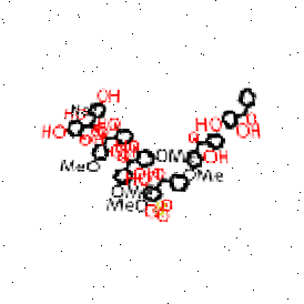 COc1cc(O)c(C(=O)c2ccccc2)cc1S(=O)(=O)[O-].COc1ccc(C(=O)c2ccc(OC)cc2O)c(O)c1.COc1ccc(C(=O)c2ccccc2)c(O)c1.COc1ccc(C(=O)c2ccccc2O)c(O)c1.O=C(c1ccc(O)cc1O)c1ccc(O)cc1O.O=C(c1ccccc1)c1ccc(O)cc1O.[Na+]